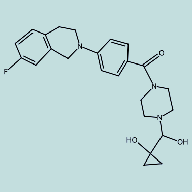 O=C(c1ccc(N2CCc3ccc(F)cc3C2)cc1)N1CCN(C(O)C2(O)CC2)CC1